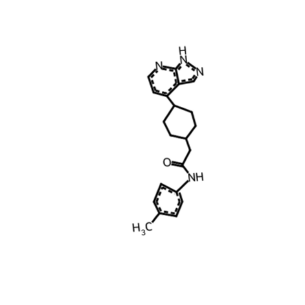 Cc1ccc(NC(=O)CC2CCC(c3ccnc4[nH]ncc34)CC2)cc1